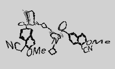 COc1ccc2cc(C(=O)[C@H]3CN(C4CC(C[C@H]5CCN(C6CCC6)C[C@H]5C(=O)c5ccc6c(CC#N)c(OC)ccc6c5)C4)CC[C@H]3C)ccc2c1CC#N